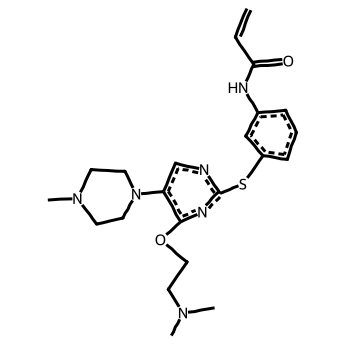 C=CC(=O)Nc1cccc(Sc2ncc(N3CCN(C)CC3)c(OCCN(C)C)n2)c1